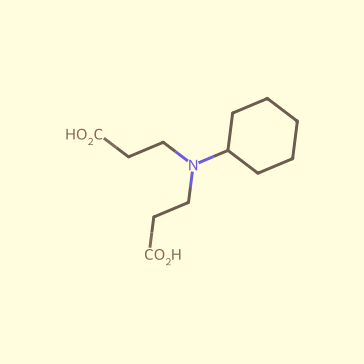 O=C(O)CCN(CCC(=O)O)C1CCCCC1